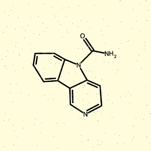 NC(=O)n1c2ccccc2c2cnccc21